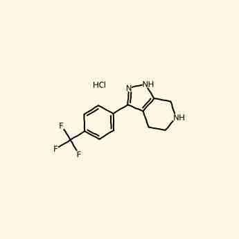 Cl.FC(F)(F)c1ccc(-c2n[nH]c3c2CCNC3)cc1